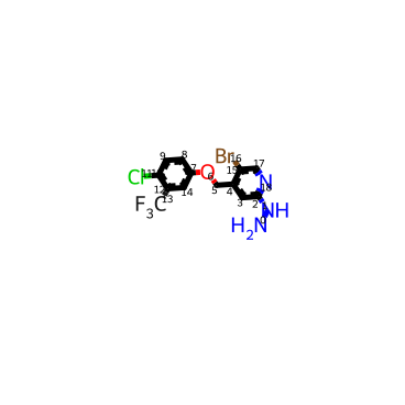 NNc1cc(COc2ccc(Cl)c(C(F)(F)F)c2)c(Br)cn1